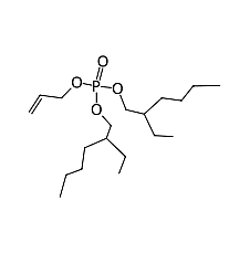 C=CCOP(=O)(OCC(CC)CCCC)OCC(CC)CCCC